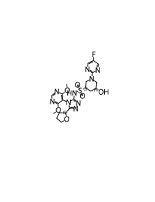 COc1ncnc(OC)c1-n1c(NS(=O)(=O)[C@H]2C[C@@H](O)CN(c3ncc(F)cn3)C2)nnc1[C@@H]1CCCO1